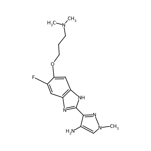 CN(C)CCCOc1cc2[nH]c(-c3nn(C)cc3N)nc2cc1F